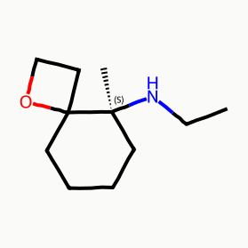 CCN[C@@]1(C)CCCCC12CCO2